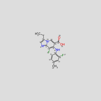 CCc1cnc2c(F)c(Nc3ccc(C)cc3F)c(C(=O)O)cn12